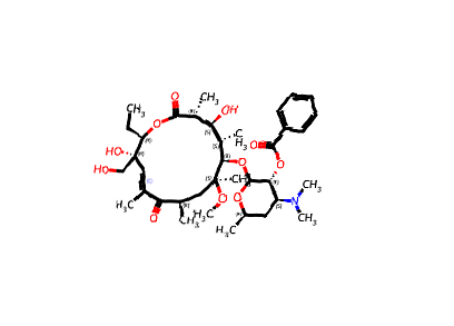 CC[C@H]1OC(=O)[C@H](C)[C@@H](O)[C@H](C)[C@@H](OC2O[C@H](C)C[C@H](N(C)C)[C@H]2OC(=O)c2ccccc2)[C@@](C)(OC)C[C@@H](C)C(=O)/C(C)=C/[C@@]1(O)CO